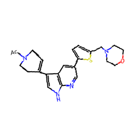 CC(=O)N1CC=C(c2c[nH]c3ncc(-c4ccc(CN5CCOCC5)s4)cc23)CC1